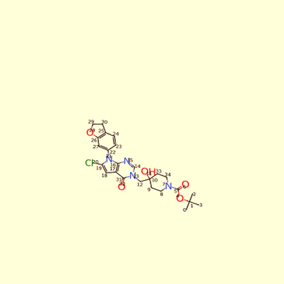 CC(C)(C)OC(=O)N1CCC(O)(Cn2cnc3c(cc(Cl)n3-c3ccc4c(c3)OCC4)c2=O)CC1